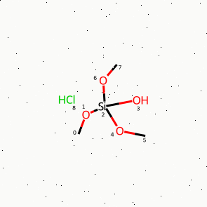 CO[Si](O)(OC)OC.Cl